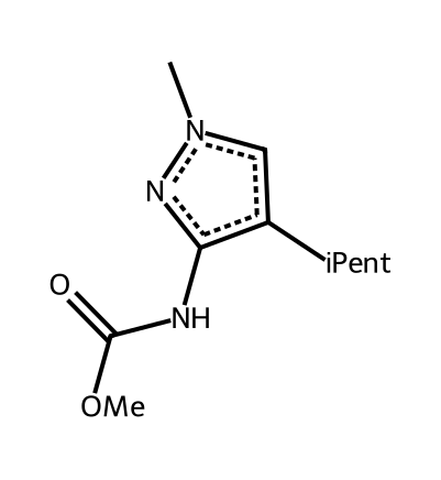 CCCC(C)c1cn(C)nc1NC(=O)OC